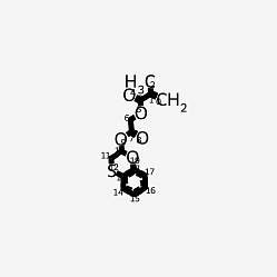 C=C(C)C(=O)OCC(=O)OC1CSc2ccccc2O1